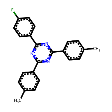 Cc1ccc(-c2nc(-c3ccc(C)cc3)nc(-c3ccc(F)cc3)n2)cc1